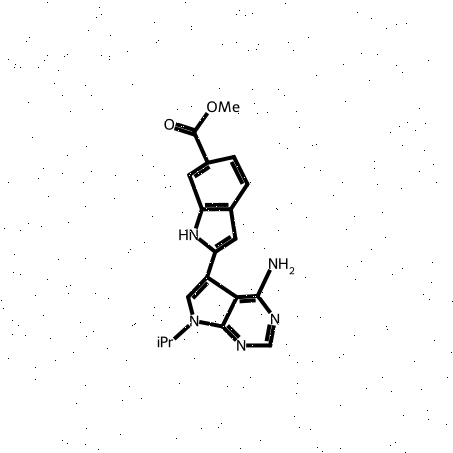 COC(=O)c1ccc2cc(-c3cn(C(C)C)c4ncnc(N)c34)[nH]c2c1